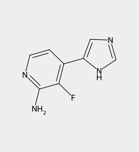 Nc1nccc(-c2cnc[nH]2)c1F